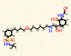 CC(C)(C)NS(=O)(=O)c1cccc(CCCCOCCCCCCNC[C@@H](O)c2cccc(NC=O)c2O)c1